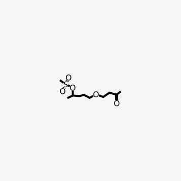 CC(=O)CCOCCCC(C)OS(C)(=O)=O